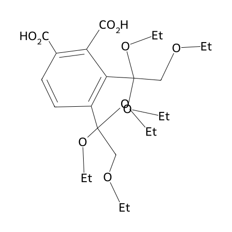 CCOCC(OCC)(OCC)c1ccc(C(=O)O)c(C(=O)O)c1C(COCC)(OCC)OCC